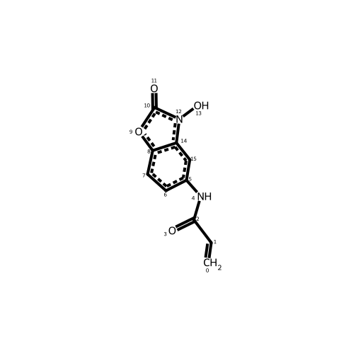 C=CC(=O)Nc1ccc2oc(=O)n(O)c2c1